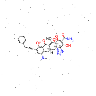 CN(C)c1cc(C#CCc2ccccc2)c(O)c2c1C[C@H]1C[C@@]3(N)[C@H](N(C)C)C(O)=C(C(N)=O)C(=O)[C@@]3(O)C(N=O)=C1C2=O